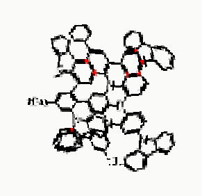 CC(C)(C)c1cc(-c2ccccc2)cc(N2c3cc(-n4c5ccccc5c5ccccc54)ccc3B3c4ccc(-n5c6ccccc6c6ccccc65)cc4N(c4ccc(-c5ccccc5)cc4-c4ccccc4)c4cc(-c5c(-c6cccc7c6sc6ccccc67)cc(C(C)(C)C)cc5-n5c6ccccc6c6ccccc65)cc2c43)c1